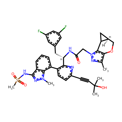 Cn1nc(NS(C)(=O)=O)c2cccc(-c3ccc(C#CC(C)(C)O)nc3[C@H](Cc3cc(F)cc(F)c3)NC(=O)Cn3nc(C(F)(F)F)c4c3C3C[C@H]3CO4)c21